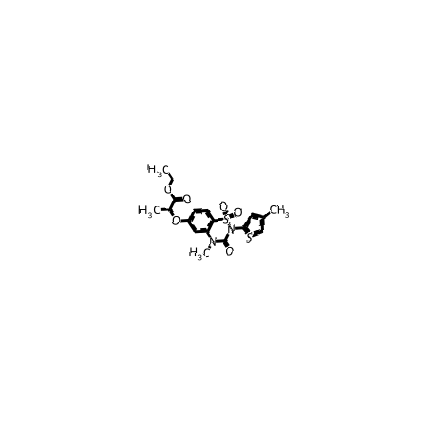 CCOC(=O)C(C)Oc1ccc2c(c1)N(C)C(=O)N(c1cc(C)cs1)S2(=O)=O